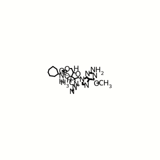 COc1nc(N)nc2c1ncn2[C@@H]1O[C@@H]2COP(=O)(NC3CCCCCC3)O[C@H]2[C@@]1(C)N=[N+]=[N-]